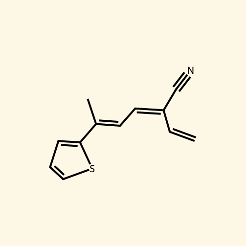 C=C/C(C#N)=C\C=C(/C)c1cccs1